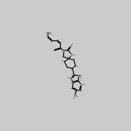 C=C(/C=C\C=C/N)N1CC2(CCC(c3nc4cc(C(F)(F)F)cnc4[nH]3)CC2)OC1=O